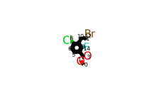 COC(=O)c1ccc(Cl)c(CCBr)c1F